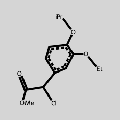 CCOc1cc(C(Cl)C(=O)OC)ccc1OC(C)C